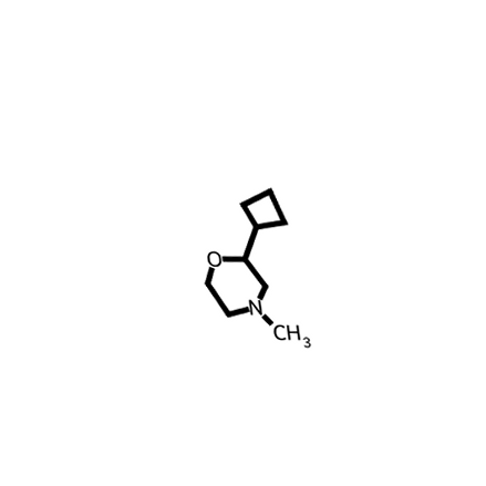 CN1CCOC(C2CCC2)C1